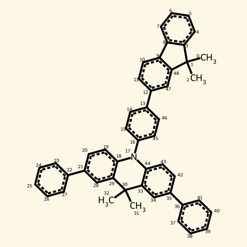 CC1(C)c2ccccc2-c2ccc(-c3ccc(N4c5ccc(-c6ccccc6)cc5C(C)(C)c5cc(-c6ccccc6)ccc54)cc3)cc21